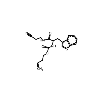 C=CCCOC(=O)NC(Cc1csc2ccccc12)C(=O)NCCC#N